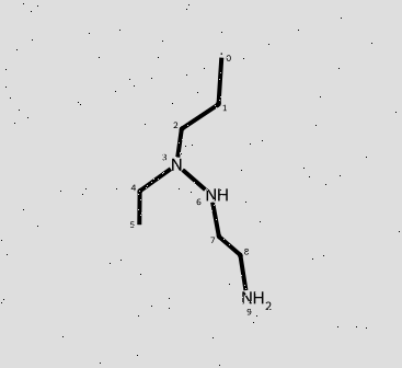 [CH2]CCN(CC)NCCN